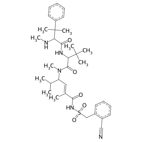 CNC(C(=O)NC(C(=O)N(C)C(/C=C(\C)C(=O)NS(=O)(=O)Cc1ccccc1C#N)C(C)C)C(C)(C)C)C(C)(C)c1ccccc1